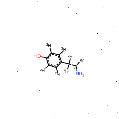 [2H]c1c([2H])c(C([2H])([2H])[C@H](N)C(C)=O)c([2H])c([2H])c1O